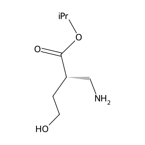 CC(C)OC(=O)[C@H](CN)CCO